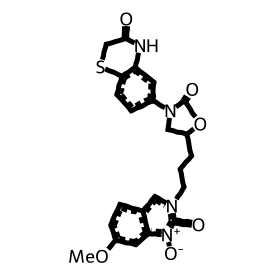 COc1ccc2cn(CCCC3CN(c4ccc5c(c4)NC(=O)CS5)C(=O)O3)c(=O)[n+]([O-])c2c1